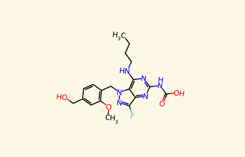 CCCCNc1nc(NC(=O)O)nc2c(F)nn(Cc3ccc(CO)cc3OC)c12